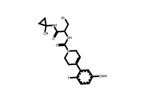 COc1ccc(F)c(C2=CCN(C(=O)NC(CC(C)C)C(=O)NC3(C#N)CC3)CC2)c1